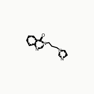 O=c1c2ccccc2ncn1CCCn1ccnc1